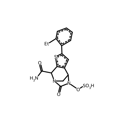 CCc1ccccc1-c1cc2c(s1)C(C(N)=O)N1CC2N(OS(=O)(=O)O)C1=O